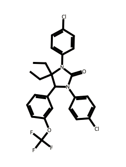 CCC1(CC)C(c2cccc(OC(F)(F)F)c2)N(c2ccc(Cl)cc2)C(=O)N1c1ccc(Cl)cc1